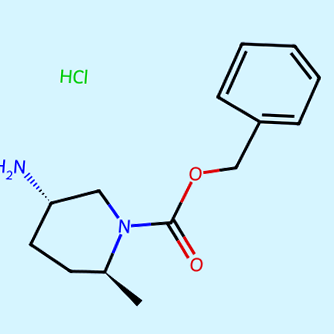 C[C@H]1CC[C@H](N)CN1C(=O)OCc1ccccc1.Cl